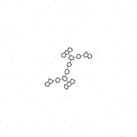 c1ccc2ncc(-c3ccc(-c4cc(-c5c6ccccc6cc6ccccc56)nc(-c5ccc(-c6ccc(-c7nc(-c8ccc(-c9cnc%10ccccc%10c9)cc8)cc(-c8c9ccccc9cc9ccccc89)n7)cc6)cc5)n4)cc3)cc2c1